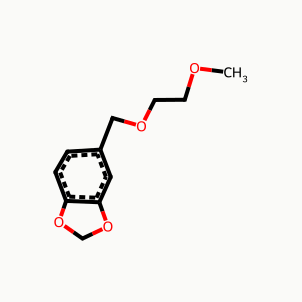 COCCOCc1ccc2c(c1)OCO2